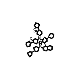 c1ccc(-c2ccc(N3B4c5cc6c(cc5N(c5ccc7c(c5)sc5ccccc57)c5cc(-c7ccccc7)cc(c54)-c4c3ccc3ccccc43)sc3ccccc36)cc2)cc1